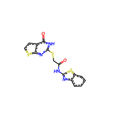 O=C(CSc1nc2sccc2c(=O)[nH]1)Nc1nc2ccccc2s1